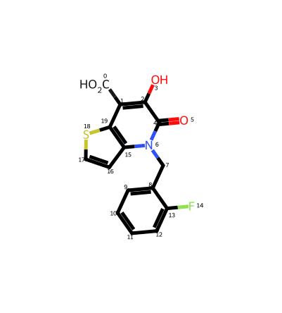 O=C(O)c1c(O)c(=O)n(Cc2ccccc2F)c2ccsc12